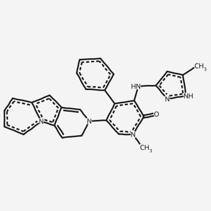 Cc1cc(Nc2c(-c3ccccc3)c(N3C=c4cc5ccccn5c4=CC3)cn(C)c2=O)n[nH]1